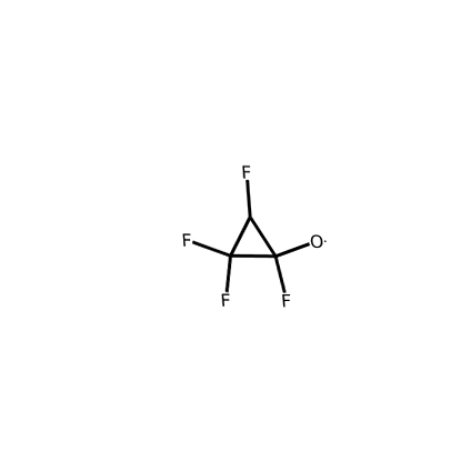 [O]C1(F)C(F)C1(F)F